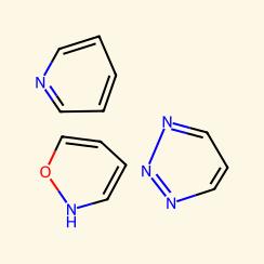 C1=CNOC=C1.c1ccncc1.c1cnnnc1